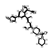 C=N/C(=C\C=C(/C)c1cc(-c2cnn(C)c2)cn2ncc(C#N)c12)N1CCN(C(=O)N2CCCCC2)CC1